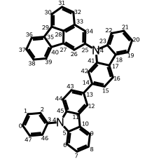 c1ccc(-n2c3ccccc3c3cc(-c4ccc5c6ccccc6n(-c6cc7c8c(cccc8c6)-c6ccccc6-7)c5c4)ccc32)cc1